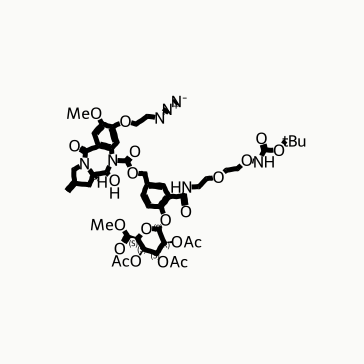 C=C1C[C@H]2C(O)N(C(=O)OCc3ccc(O[C@@H]4O[C@H](C(=O)OC)[C@@H](OC(C)=O)[C@H](OC(C)=O)[C@H]4OC(C)=O)c(C(=O)NCCOCCONC(=O)OC(C)(C)C)c3)c3cc(OCCN=[N+]=[N-])c(OC)cc3C(=O)N2C1